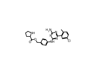 Cc1ccc(Cl)cc1-c1nc(N)nc(Nc2ccc(COC(=O)C3CCCN3)cc2)n1